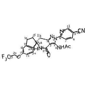 CC(=O)Nc1c2c(nn1-c1ccc(C#N)cn1)C[C@]1(CCc3cc(OCC(F)(F)F)ccc31)NC2=O